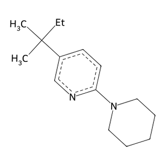 CCC(C)(C)c1ccc(N2CCCCC2)nc1